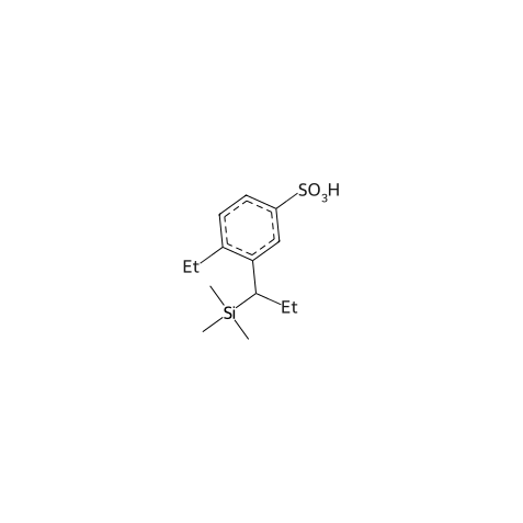 CCc1ccc(S(=O)(=O)O)cc1C(CC)[Si](C)(C)C